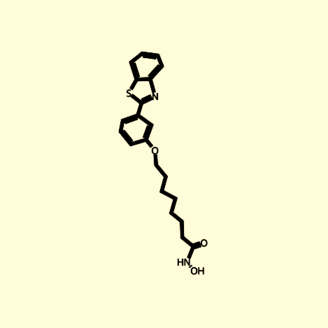 O=C(CCCCCCCOc1cccc(-c2nc3ccccc3s2)c1)NO